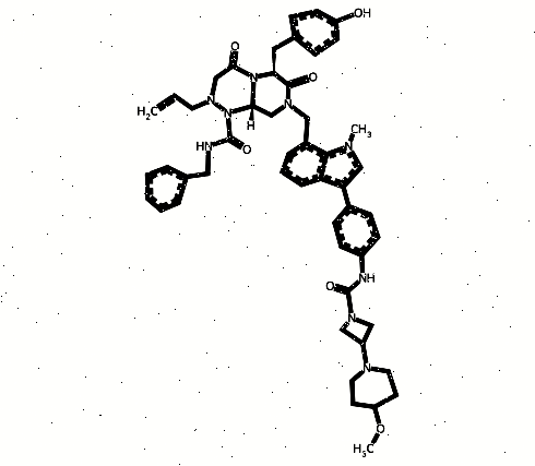 C=CCN1CC(=O)N2[C@@H](Cc3ccc(O)cc3)C(=O)N(Cc3cccc4c(-c5ccc(NC(=O)N6CC(N7CCC(OC)CC7)C6)cc5)cn(C)c34)C[C@@H]2N1C(=O)NCc1ccccc1